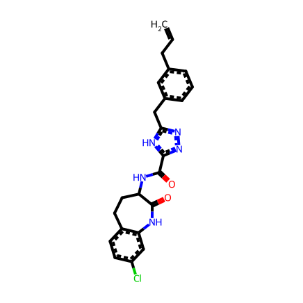 C=CCc1cccc(Cc2nnc(C(=O)NC3CCc4ccc(Cl)cc4NC3=O)[nH]2)c1